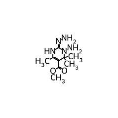 COC(=O)C1=C(C)N/C(=N/N)N(N)C1(C)C